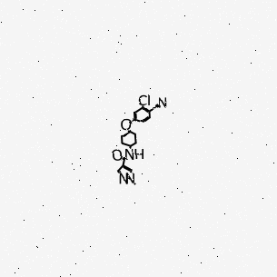 Cn1cc(C(=O)NC2CCC(Oc3ccc(C#N)c(Cl)c3)CC2)cn1